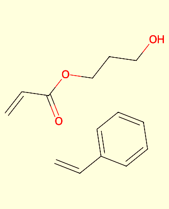 C=CC(=O)OCCCO.C=Cc1ccccc1